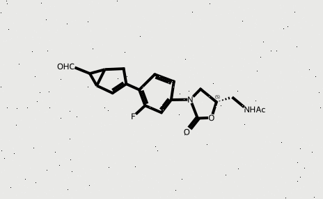 CC(=O)NC[C@H]1CN(c2ccc(C3=CC4C(C=O)C4C3)c(F)c2)C(=O)O1